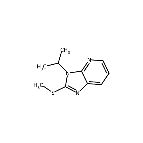 CSc1nc2cccnc2n1C(C)C